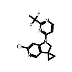 CC(F)(F)c1nccc(N2CC3(CC3)c3cnc(Cl)cc32)n1